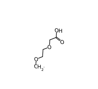 [CH2]OCCOCC(=O)O